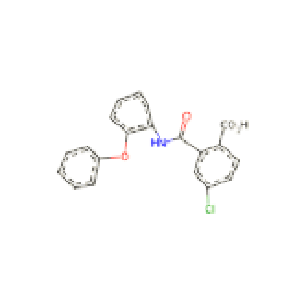 O=C(O)c1ccc(Cl)cc1C(=O)Nc1ccccc1Oc1ccccc1